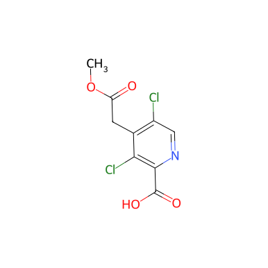 COC(=O)Cc1c(Cl)cnc(C(=O)O)c1Cl